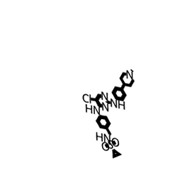 CN1CCC(c2ccc(Nc3ncc(Cl)c(Nc4ccc(CNS(=O)(=O)C5CC5)cc4)n3)cc2)CC1